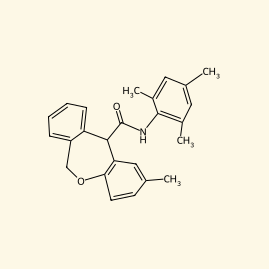 Cc1cc(C)c(NC(=O)C2c3ccccc3COc3ccc(C)cc32)c(C)c1